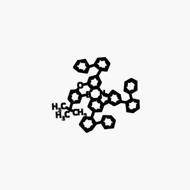 CC(C)(C)c1ccc2c(c1)B1c3c(cc(-c4ccccc4-c4ccccc4)cc3-n3c4ccc(-c5ccccc5-c5ccccc5)cc4c4cc(-c5ccccc5-c5ccccc5)cc1c43)O2